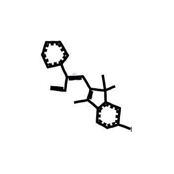 C=C/C(=C\C1=C(C)c2ccc(I)cc2C1(C)C)c1ccccc1